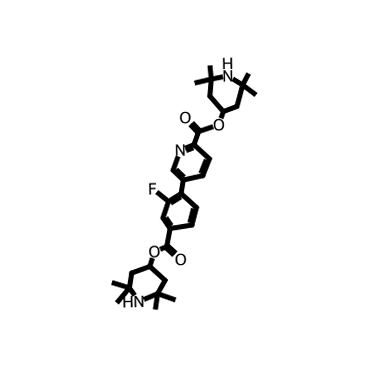 CC1(C)CC(OC(=O)c2ccc(-c3ccc(C(=O)OC4CC(C)(C)NC(C)(C)C4)nc3)c(F)c2)CC(C)(C)N1